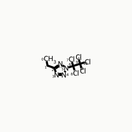 CCc1nnn(C(Cl)(Cl)C(Cl)(Cl)Cl)n1